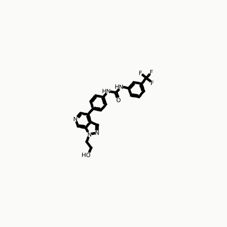 O=C(Nc1ccc(-c2cncc3c2cnn3CCO)cc1)Nc1cccc(C(F)(F)F)c1